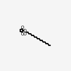 CCCCCCCCCCCCCCCCCC(=O)ON1C(=O)CCC1=O